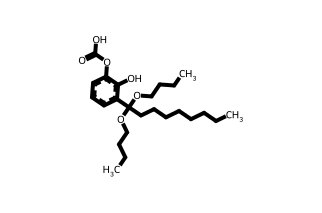 CCCCCCCCC(OCCCC)(OCCCC)c1cccc(OC(=O)O)c1O